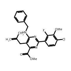 C=C(C)Cc1c(NCc2ccccc2)nc(-c2ccc(Cl)c(OC)c2F)nc1C(=O)OC